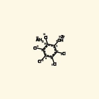 Oc1c(Cl)c(Cl)c(Cl)c(Cl)c1Cl.[AlH3].[Zr]